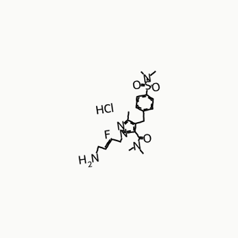 Cc1nn(CC(F)=CCN)c(C(=O)N(C)C)c1Cc1ccc(S(=O)(=O)N(C)C)cc1.Cl